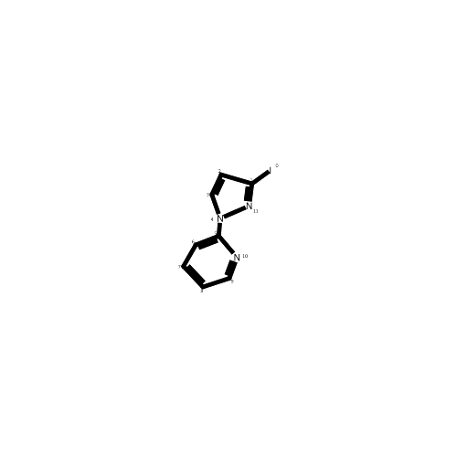 Ic1ccn(-c2ccccn2)n1